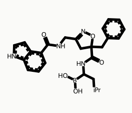 CC(C)CC(NC(=O)C1(Cc2ccccc2)CC(CNC(=O)c2cccc3[nH]ccc23)=NO1)B(O)O